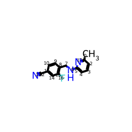 Cc1cccc(NCc2ccc(C#N)cc2F)n1